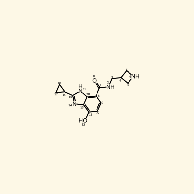 O=C(NCC1CNC1)c1ccc(O)c2nc(C3CC3)[nH]c12